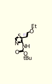 CCO/C=C/c1scnc1NC(=O)OC(C)(C)C